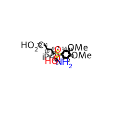 COc1ccc(S(=O)(=O)[C@@H](CCCC(=O)O)C(C)C)cc1OC.NO